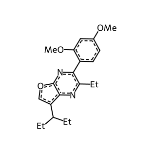 CCc1nc2c(C(CC)CC)coc2nc1-c1ccc(OC)cc1OC